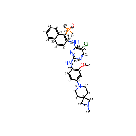 COc1cc(N2CCC3(CC2)CN(C)C3)ccc1Nc1ncc(Cl)c(Nc2ccc3ccccc3c2P(C)(C)=O)n1